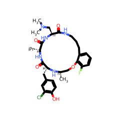 CC(C)[C@H]1NC(=O)[C@@H](Cc2ccc(O)c(Cl)c2)N[C@@H](C)COc2c(F)cccc2CCCNC(=O)[C@H](CN(C)C)NC1=O